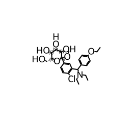 CCOc1ccc(C(c2cc([C@]3(OC)O[C@H](CO)[C@@H](O)[C@H](O)[C@H]3O)ccc2Cl)N(CC)CC)cc1